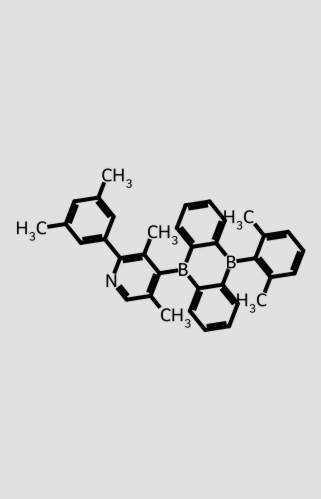 Cc1cc(C)cc(-c2ncc(C)c(B3c4ccccc4B(c4c(C)cccc4C)c4ccccc43)c2C)c1